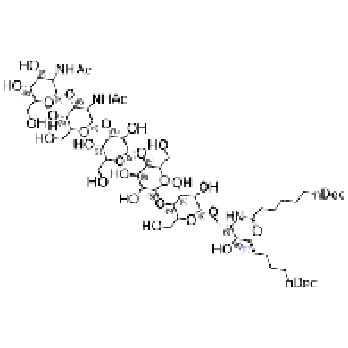 CCCCCCCCCCCCC/C=C/[C@@H](O)[C@H](CO[C@@H]1OC(CO)[C@@H](O[C@@H]2OC(CO)[C@H](O[C@@H]3OC(CO)[C@H](O)[C@H](O[C@@H]4OC(CO)[C@H](O)[C@H](O[C@@H]5OC(CO)[C@H](O)[C@H](O)C5NC(C)=O)C4NC(C)=O)C3O)[C@H](O)C2O)[C@H](O)C1O)NC(=O)CCCCCCCCCCCCCCC